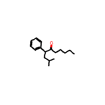 CCCCCC(=O)C(CC(C)C)c1ccccc1